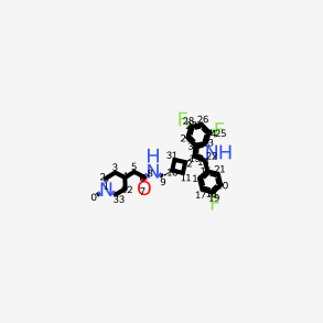 CN1CCC(CC(=O)NC[C@H]2C[C@@H](c3c(-c4ccc(F)cc4)[nH]c4c(F)cc(F)cc43)C2)CC1